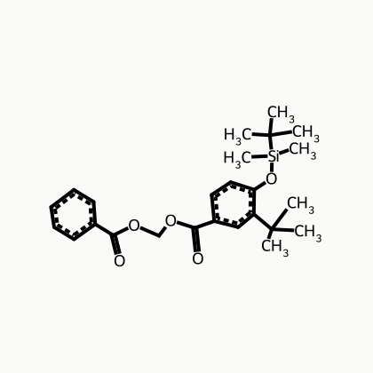 CC(C)(C)c1cc(C(=O)OCOC(=O)c2ccccc2)ccc1O[Si](C)(C)C(C)(C)C